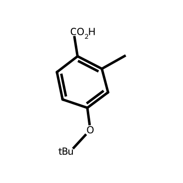 Cc1cc(OC(C)(C)C)ccc1C(=O)O